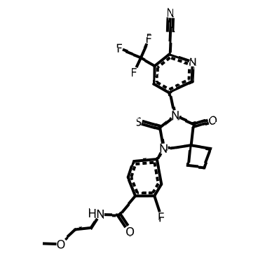 COCCNC(=O)c1ccc(N2C(=S)N(c3cnc(C#N)c(C(F)(F)F)c3)C(=O)C23CCC3)cc1F